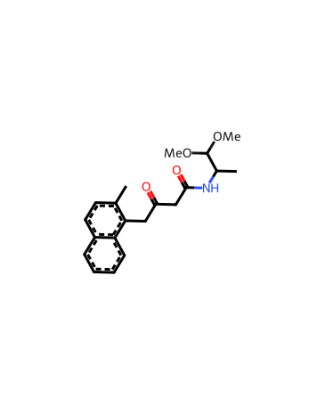 COC(OC)C(C)NC(=O)CC(=O)Cc1c(C)ccc2ccccc12